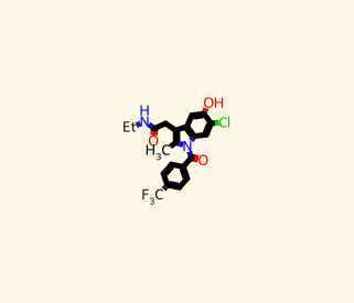 CCNC(=O)Cc1c(C)n(C(=O)c2ccc(C(F)(F)F)cc2)c2cc(Cl)c(O)cc12